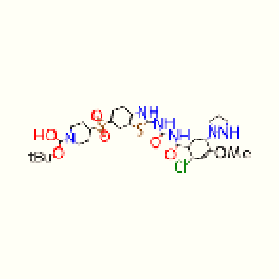 COC1=CC(Cl)C(C(=O)NC(=O)NC2NC3CCC(S(=O)(=O)C4CCN(C(O)OC(C)(C)C)CC4)CC3S2)CC1N1CCCN1